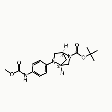 COC(=O)Nc1ccc(N2C[C@@H]3C[C@H]2CN3C(=O)OC(C)(C)C)cc1